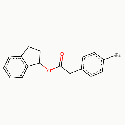 CCC(C)c1ccc(CC(=O)OC2CCc3ccccc32)cc1